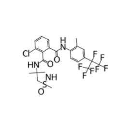 Cc1cc(C(F)(C(F)(F)F)C(F)(F)F)ccc1NC(=O)c1cccc(Cl)c1C(=O)NC(C)(C)CS(C)(=N)=O